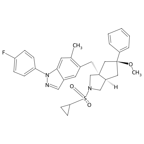 CO[C@@]1(c2ccccc2)C[C@H]2CN(S(=O)(=O)C3CC3)C[C@@]2(Cc2cc3cnn(-c4ccc(F)cc4)c3cc2C)C1